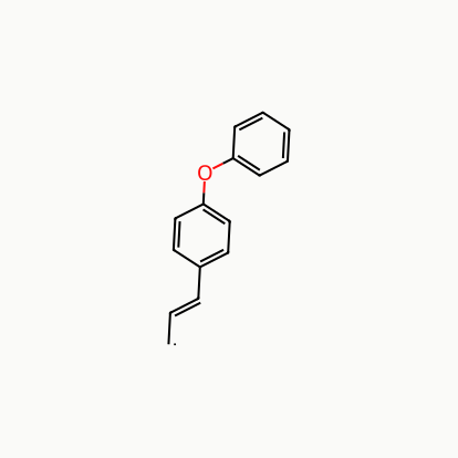 [CH2]/C=C/c1ccc(Oc2ccccc2)cc1